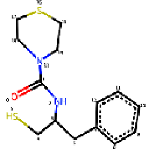 O=C(NC(CS)Cc1ccccc1)N1CCSCC1